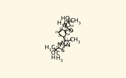 CC1N=C2SC(C(C)(C)O)=NN2C1C1C=C(S(=O)(=O)CC(C)(C)O)C=CC1